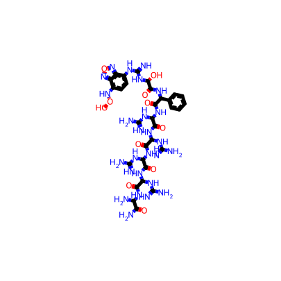 N=C(N)NC(NC(=O)C(NC(=N)N)NC(=O)C(NC(=N)N)NC(=O)C(NC(=N)N)NC(=O)C(NC(=O)C(O)NC(=N)Nc1ccc(NOO)c2nonc12)c1ccccc1)C(=O)NC(N)C(N)=O